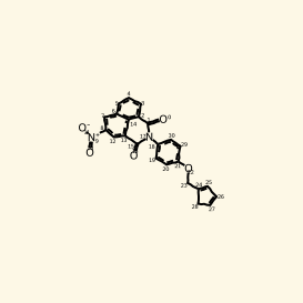 O=C1c2cccc3cc([N+](=O)[O-])cc(c23)C(=O)N1c1ccc(OCC2=CC=CC2)cc1